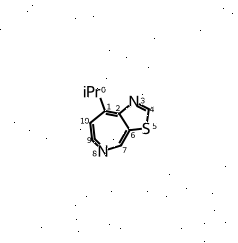 CC(C)C1=c2ncsc2=CN=C=C1